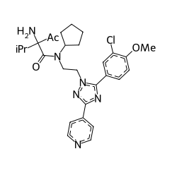 COc1ccc(-c2nc(-c3ccncc3)nn2CCN(C(=O)C(N)(C(C)=O)C(C)C)C2CCCC2)cc1Cl